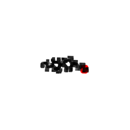 CCCc1ccc(C2CCC(CCC=O)CC2)cc1